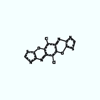 Clc1c2c(c(Cl)c3c1=Nc1ncsc1O3)=Nc1ncsc1O2